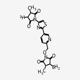 [2H]C1C(=O)N(c2csc(-c3ccc(CON4C(=O)C(B)C(C)C4=O)nc3)n2)C(=O)C1C